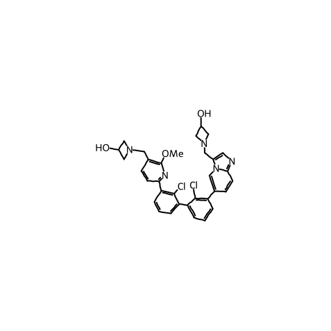 COc1nc(-c2cccc(-c3cccc(-c4ccc5ncc(CN6CC(O)C6)n5c4)c3Cl)c2Cl)ccc1CN1CC(O)C1